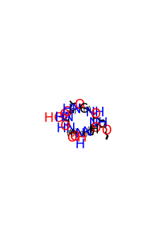 C=CCOc1ccc(CC2NC(=O)[C@@H]3CCCN3[C@H](C)NC(=O)[C@H]([C@@H](C)O)NC(=O)C(CC(=O)O)NC(=O)[C@H](CC(C)C)NC(=O)C[C@H](C)NC2=O)cc1